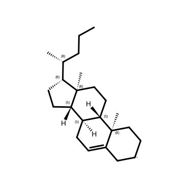 CCC[C@@H](C)[C@H]1CC[C@H]2[C@@H]3CC=C4C[CH]CC[C@]4(C)[C@H]3CC[C@]12C